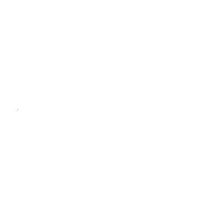 CCCC=CCCCCCC=CC(=O)OC